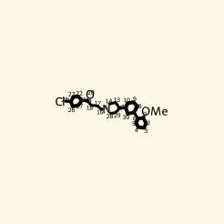 COc1[c]cccc1-c1cccc(C2CCN(CCCC(=O)c3ccc(Cl)cc3)CC2)c1